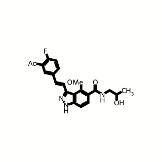 COc1c(C(=O)NCC(C)O)ccc2[nH]nc(/C=C/c3ccc(F)c(C(C)=O)c3)c12